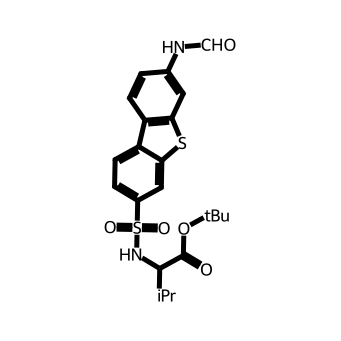 CC(C)C(NS(=O)(=O)c1ccc2c(c1)sc1cc(NC=O)ccc12)C(=O)OC(C)(C)C